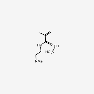 C=C(C)C(=O)NCCNC.O=S(=O)(O)O